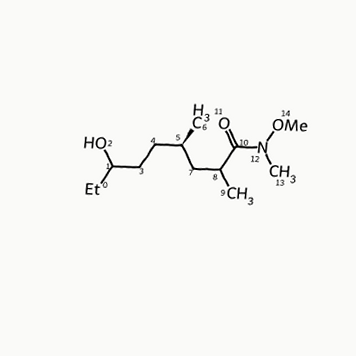 CCC(O)CC[C@@H](C)CC(C)C(=O)N(C)OC